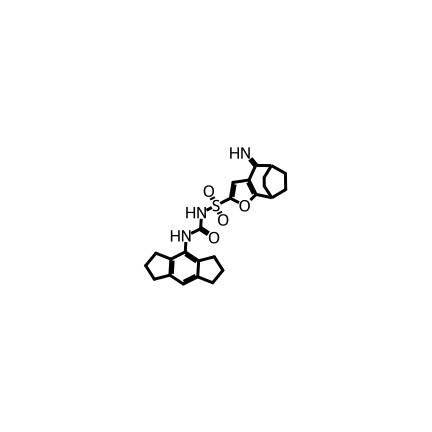 N=C1c2cc(S(=O)(=O)NC(=O)Nc3c4c(cc5c3CCC5)CCC4)oc2C2CCC1CC2